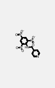 O=C(Nc1c([N+](=O)[O-])cc([N+](=O)[O-])cc1[N+](=O)[O-])c1ccncc1